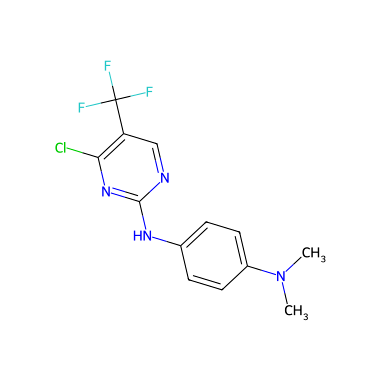 CN(C)c1ccc(Nc2ncc(C(F)(F)F)c(Cl)n2)cc1